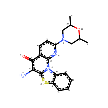 CC1CN(c2ccc3c(=O)c(N)c4sc5ccccc5n4c3n2)CC(C)O1